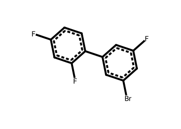 Fc1cc(Br)cc(-c2ccc(F)cc2F)c1